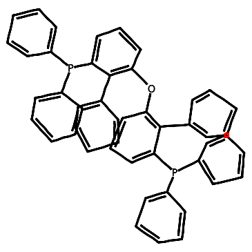 c1ccc(-c2c(Oc3cccc(P(c4ccccc4)c4ccccc4)c3-c3ccccc3)cccc2P(c2ccccc2)c2ccccc2)cc1